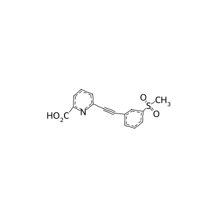 CS(=O)(=O)c1cccc(C#Cc2cccc(C(=O)O)n2)c1